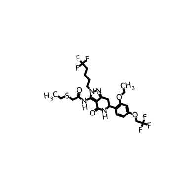 CCOc1cc(OCC(F)(F)F)ccc1C1Cc2nn(CCCCC(F)(F)F)c(NC(=O)CSCC)c2C(=O)N1